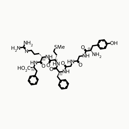 CSCC[C@H](NC(=O)[C@H](Cc1ccccc1)NC(=O)CNC(=O)CNC(=O)[C@@H](N)Cc1ccc(O)cc1)C(=O)N[C@@H](CCCN=C(N)N)C(=O)N[C@@H](Cc1ccccc1)C(=O)O